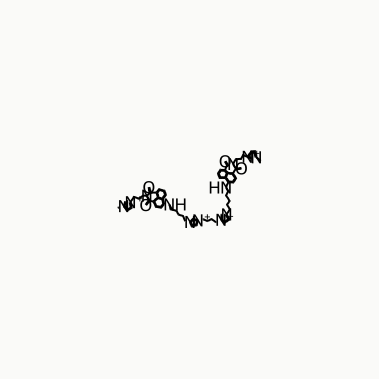 Cn1cc[n+](CCCN2C(=O)c3cccc4c(NCCCCCn5cc[n+](CCCC[n+]6ccn(CCCCCNc7ccc8c9c(cccc79)C(=O)N(CCC[n+]7ccn(C)c7)C8=O)c6)c5)ccc(c34)C2=O)c1